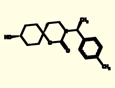 Cc1ccc([C@H](C)N2CC[C@]3(CC[C@@H](O)CC3)OC2=O)cc1